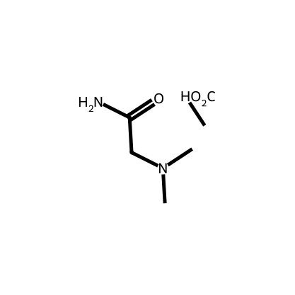 CC(=O)O.CN(C)CC(N)=O